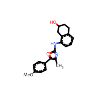 COc1ccc(-c2oc(Nc3cccc4c3CC(O)CC4)nc2C)cc1